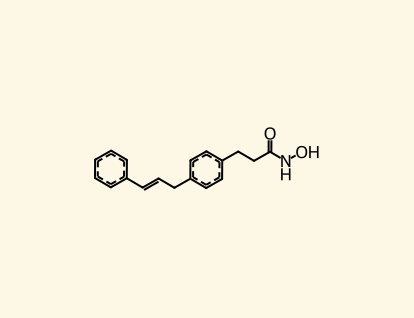 O=C(CCc1ccc(C/C=C/c2ccccc2)cc1)NO